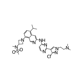 CC(C)c1ccc(N2CC(N(C)S(C)(=O)=O)C2)c2cnc(Nc3ccnc(-c4cn(CCN(C)C)nc4Cl)n3)cc12